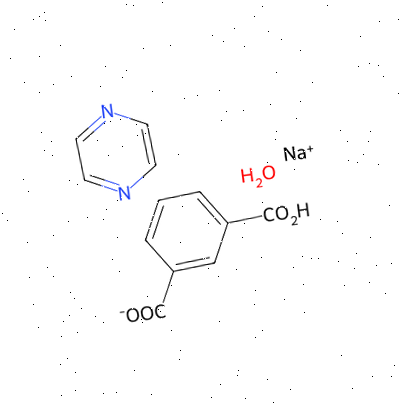 O.O=C([O-])c1cccc(C(=O)O)c1.[Na+].c1cnccn1